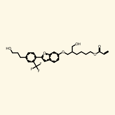 C=CC(=O)OCCCCC(CO)COc1ccc2cc(-c3ccc(CCCO)cc3C(F)(F)F)oc2c1